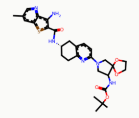 Cc1cnc2c(N)c(C(=O)N[C@H]3CCc4nc(N5CC(NC(=O)OC(C)(C)C)C6(C5)OCCO6)ccc4C3)sc2c1